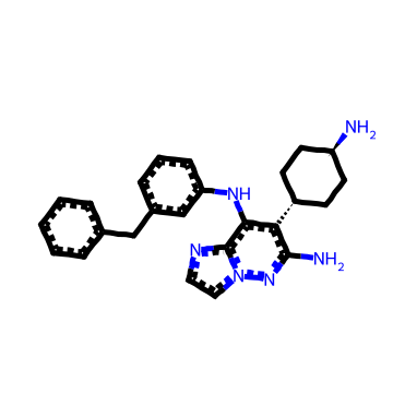 Nc1nn2ccnc2c(Nc2cccc(Cc3ccccc3)c2)c1[C@H]1CC[C@H](N)CC1